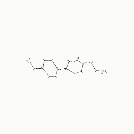 CCC1CCC(C2CCC(COC)CC2)CC1